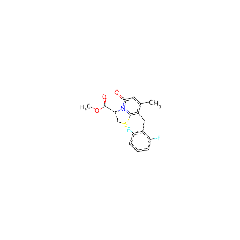 COC(=O)C1CSc2c(Cc3c(F)cccc3F)c(C)cc(=O)n21